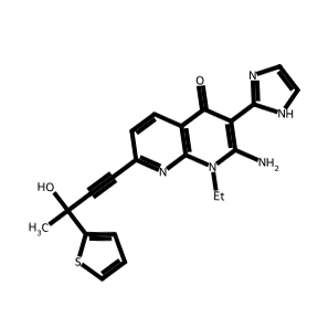 CCn1c(N)c(-c2ncc[nH]2)c(=O)c2ccc(C#CC(C)(O)c3cccs3)nc21